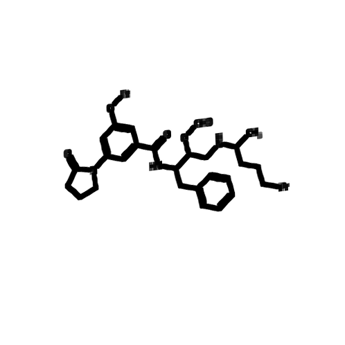 CCOc1cc(C(=O)NC(Cc2ccccc2)C(CNC(C)CCCC(C)C)OC=O)cc(N2CCCC2=O)c1